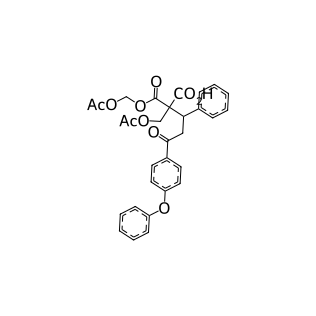 CC(=O)OCOC(=O)C(COC(C)=O)(C(=O)O)C(CC(=O)c1ccc(Oc2ccccc2)cc1)c1ccccc1